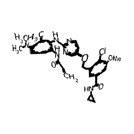 C=CC(=O)Nc1ccc(N(C)C)c(C)c1Nc1ncc(OCc2cc(C(=O)NC3CC3)cc(OC)c2Cl)cn1